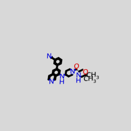 CC1(C)CN[C@H](C(=O)N2CCC(Nc3cc(-c4cccc(C#N)c4)cc4ccncc34)CC2)CO1